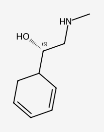 CNC[C@@H](O)C1C=CC=CC1